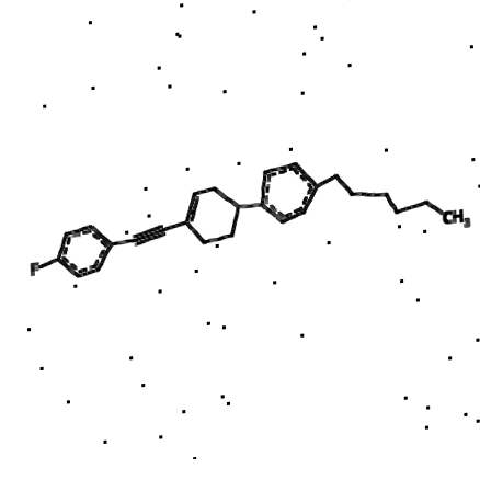 CCCCCCc1ccc(C2CC=C(C#Cc3ccc(F)cc3)CC2)cc1